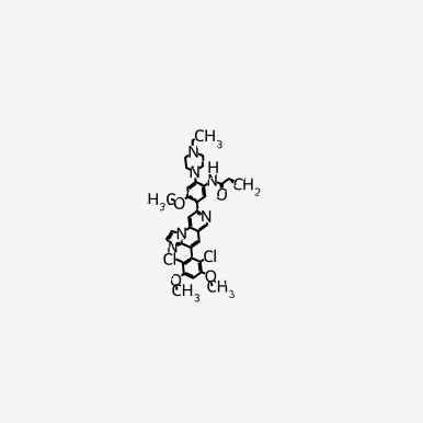 C=CC(=O)Nc1cc(-c2cc3c(cn2)cc(-c2c(Cl)c(OC)cc(OC)c2Cl)c2nccn23)c(OC)cc1N1CCN(CC)CC1